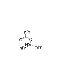 CCCC(=O)O[SiH](CCC)CCC